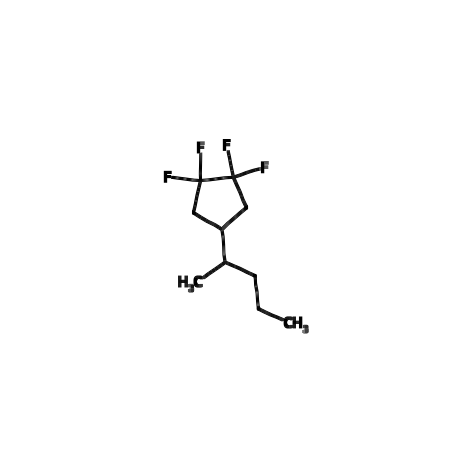 CCCC(C)C1CC(F)(F)C(F)(F)C1